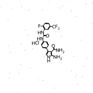 Cl.NC(=O)c1c(-c2ccc(NC(=O)Nc3cc(C(F)(F)F)ccc3F)cc2)c[nH]c1N